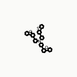 c1cc(-c2ccc3oc4ccccc4c3c2)cc(N(c2ccc(-c3cccc4c3oc3ccccc34)cc2)c2cccc(-c3ccc4sc5ccccc5c4c3)c2)c1